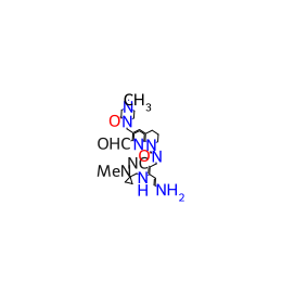 CNC1(CNC(/C=C/N)=C(C#N)/C=N\C(=O)N2CCCc3cc(CN4CCN(C)CC4=O)c(C=O)nc32)CC1